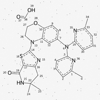 Cc1cccc(N(c2ccc3c(c2)N(c2nc4c(s2)C(=O)NC(C)(C)C4)CCO3)c2cccc(C)n2)n1.O=CO